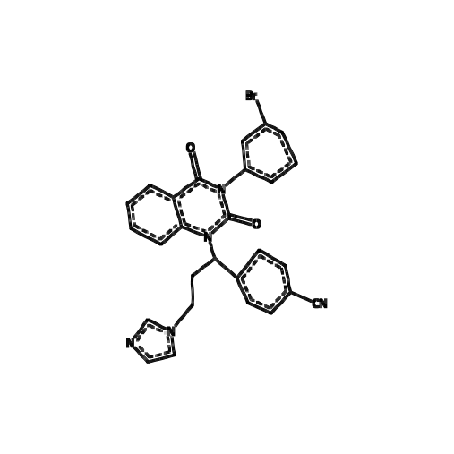 N#Cc1ccc(C(CCn2ccnc2)n2c(=O)n(-c3cccc(Br)c3)c(=O)c3ccccc32)cc1